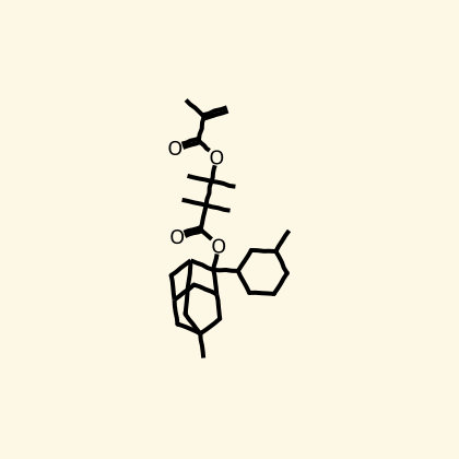 C=C(C)C(=O)OC(C)(C)C(C)(C)C(=O)OC1(C2CCCC(C)C2)C2CC3CC1CC(C)(C3)C2